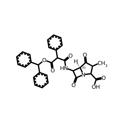 CC1C(=O)[C@@H]2C(NC(=O)C(C(=O)OC(c3ccccc3)c3ccccc3)c3ccccc3)C(=O)N2C1C(=O)O